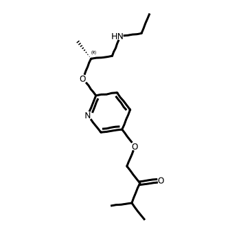 CCNC[C@@H](C)Oc1ccc(OCC(=O)C(C)C)cn1